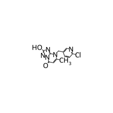 Cc1cc(=O)n2nc(O)nc2n1Cc1ccc(Cl)nc1